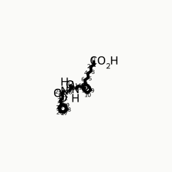 O=C(O)CCCCCCC1C2CCC(O2)C1CNC(=O)CNC(=O)OCc1ccccc1